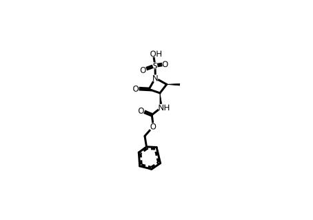 C[C@H]1[C@@H](NC(=O)OCc2ccccc2)C(=O)N1S(=O)(=O)O